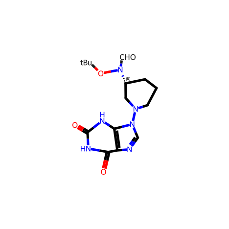 CC(C)(C)ON(C=O)[C@@H]1CCCN(n2cnc3c(=O)[nH]c(=O)[nH]c32)C1